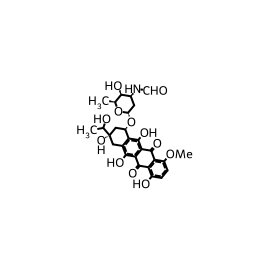 COc1ccc(O)c2c1C(=O)c1c(O)c3c(c(O)c1C2=O)C[C@@](O)(C(C)O)C[C@@H]3O[C@H]1C[C@H](NC=O)[C@H](O)[C@H](C)O1